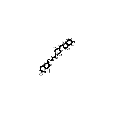 O=C1CCc2cc(OCCCN3CCC(=Cc4ccc5ccccc5n4)CC3)ccc2N1